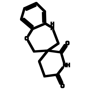 O=C1CCC2(CNc3ccccc3OC2)C(=O)N1